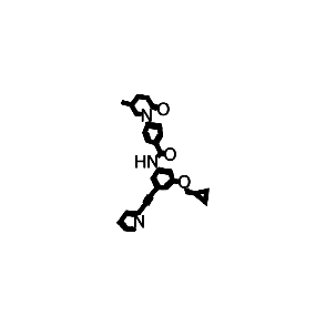 CC1CCC(=O)N(c2ccc(C(=O)Nc3cc(C#Cc4ccccn4)cc(OCC4CC4)c3)cc2)C1